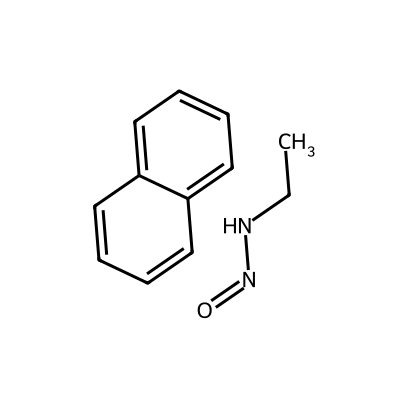 CCNN=O.c1ccc2ccccc2c1